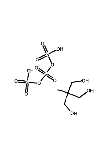 CC(CO)(CO)CO.O=S(=O)(O)OS(=O)(=O)OS(=O)(=O)O